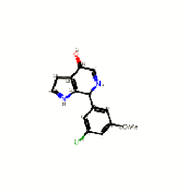 COc1cc(Cl)cc(C2N=CC(=O)C3=C2N=CC3)c1